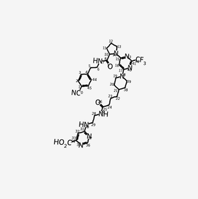 N#Cc1ccc(CCNC(=O)C2CCCN2c2cc(N3CCC(CCCC(=O)NCCNc4cc(C(=O)O)ncn4)CC3)nc(C(F)(F)F)n2)cc1